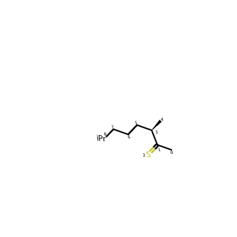 CC(=S)[C@H](C)CCCC(C)C